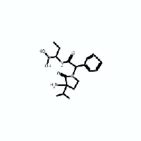 CCC(NC(=O)C(c1ccccc1)N1CCC(N)(C(C)C)C1=O)B(O)O